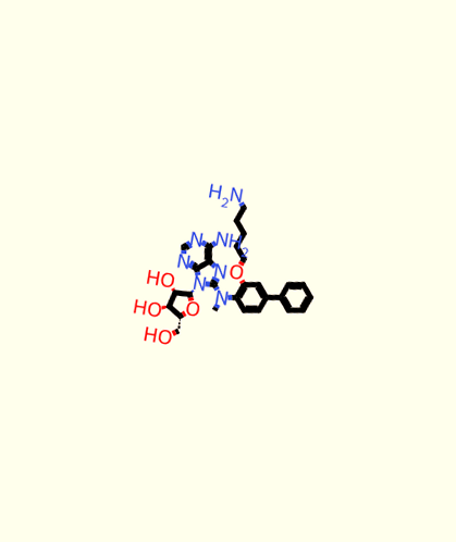 CN(c1ccc(-c2ccccc2)cc1OCCCCCN)c1nc2c(N)ncnc2n1[C@@H]1O[C@H](CO)[C@@H](O)[C@H]1O